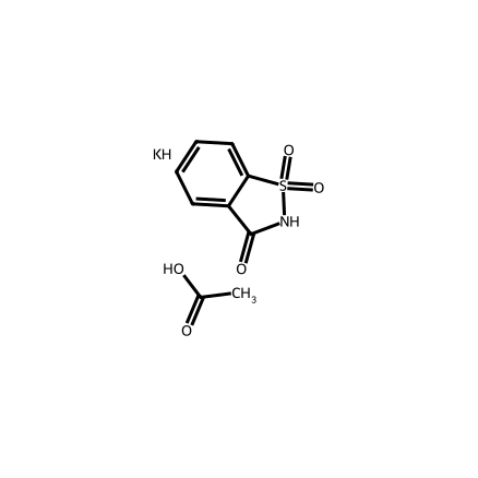 CC(=O)O.O=C1NS(=O)(=O)c2ccccc21.[KH]